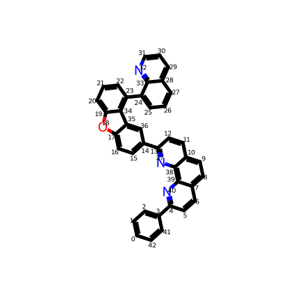 c1ccc(-c2ccc3ccc4ccc(-c5ccc6oc7cccc(-c8cccc9cccnc89)c7c6c5)nc4c3n2)cc1